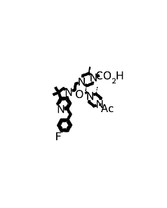 CC(=O)N1CCN(C[C@H]2CN(C(=O)O)[C@H](C)CN2CC(=O)N2CC(C)(C)c3cnc(Cc4ccc(F)cc4)cc32)[C@H](C)C1